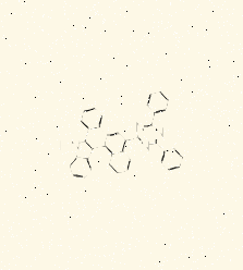 c1ccc(-c2nc(-c3ccccc3)nc(-c3cc4c5ccccc5c5[nH]c6ccccc6c5c4c4ccccc34)n2)cc1